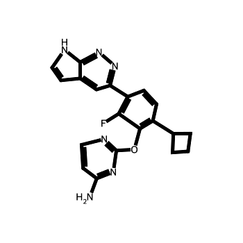 Nc1ccnc(Oc2c(C3CCC3)ccc(-c3cc4cc[nH]c4nn3)c2F)n1